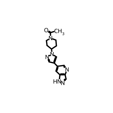 CC(=O)N1CCC(n2cc(-c3cnc4cn[nH]c4c3)cn2)CC1